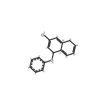 ClC1=CC(Oc2ccccc2)C2=CC=CCC2=C1